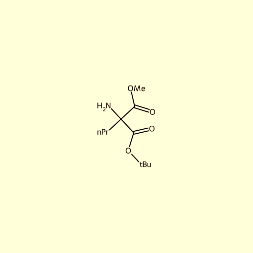 CCCC(N)(C(=O)OC)C(=O)OC(C)(C)C